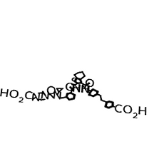 O=C(O)CN1CCN(C(=O)CN(Cc2cccc(C(=O)Nc3sc4c(c3C(=O)Nc3ccc(CCc5ccc(C(=O)O)cc5)cc3)CCCC4)c2)C2CC2)CC1